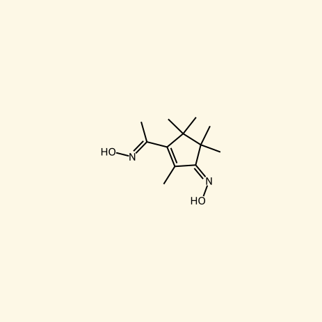 CC(=NO)C1=C(C)C(=NO)C(C)(C)C1(C)C